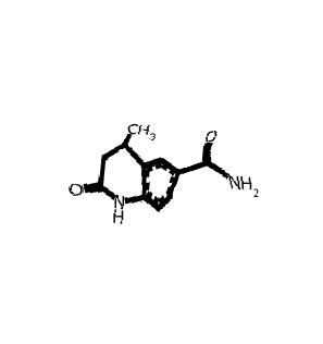 CC1CC(=O)Nc2ccc(C(N)=O)cc21